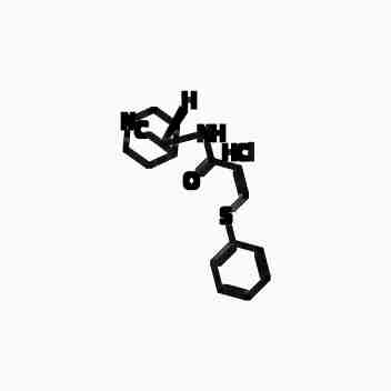 Cl.O=C(/C=C\Sc1ccccc1)N[C@H]1CN2CCC1CC2